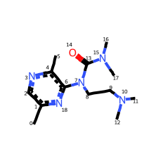 Cc1cnc(C)c(N(CCN(C)C)C(=O)N(C)C)n1